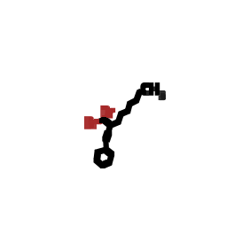 CCCCCCCC(C#Cc1ccccc1)=C(Br)Br